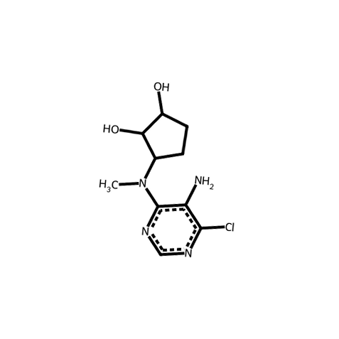 CN(c1ncnc(Cl)c1N)C1CCC(O)C1O